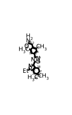 CCn1nc(-c2nc(-c3cc(C)c(CC(N)=O)c(C)c3)no2)c2c1CC(C)(C)CC2